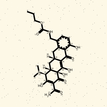 CCCOC(=O)NCc1ccc(O)c2c1C[C@H]1C[C@H]3[C@H](N(C)C)C(O)=C(C(N)=O)C(=O)[C@@]3(O)C(O)=C1C2=O